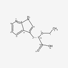 CCO[C@@H](Cc1c[nH]c2ncccc12)C(=O)O